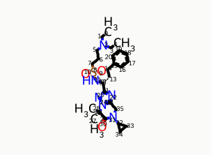 CCN(CC)CCCS(=O)(=O)N[C@H](CCc1ccccc1)c1nc2n(n1)C(C)(C)C(=O)N(C1CC1)C2